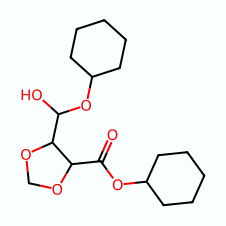 O=C(OC1CCCCC1)C1OCOC1C(O)OC1CCCCC1